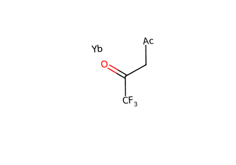 CC(=O)CC(=O)C(F)(F)F.[Yb]